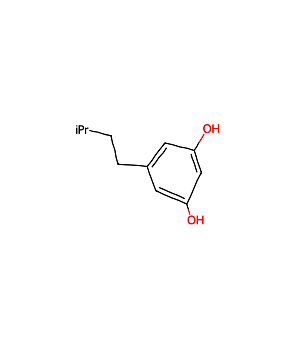 CC(C)CCc1cc(O)cc(O)c1